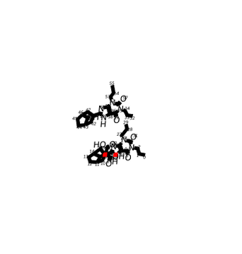 CCCn1c(=O)c2[nH]c(C3CC4CCC(C3)C4C(C(=O)O)C(=O)O)nc2n(CCC)c1=O.CCCn1c(=O)c2[nH]c(C3CC4CCC(C3)C4O)nc2n(CCC)c1=O